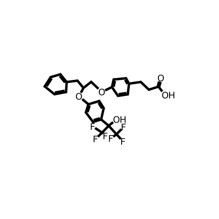 O=C(O)CCc1ccc(OCC(Cc2ccccc2)Oc2ccc(C(O)(C(F)(F)F)C(F)(F)F)cc2)cc1